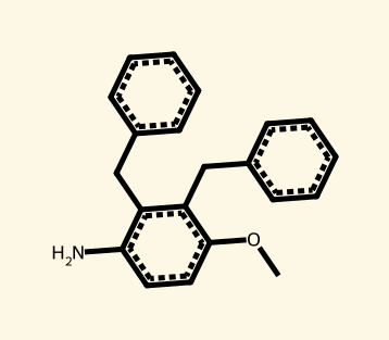 COc1ccc(N)c(Cc2ccccc2)c1Cc1ccccc1